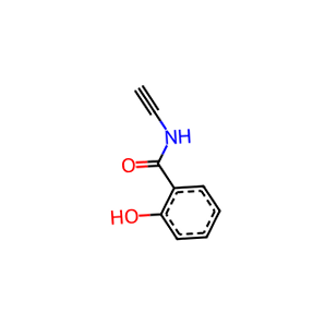 C#CNC(=O)c1ccccc1O